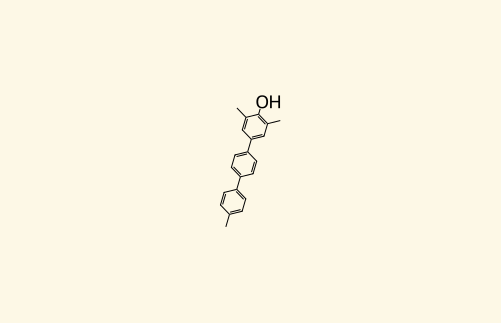 Cc1ccc(-c2ccc(-c3cc(C)c(O)c(C)c3)cc2)cc1